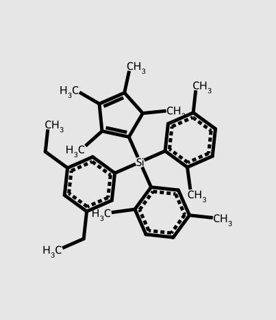 CCc1cc(CC)cc([Si](C2=C(C)C(C)=C(C)C2C)(c2cc(C)ccc2C)c2cc(C)ccc2C)c1